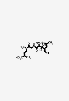 CC/C=C(\C=C(\C)CC)C(C)(C)C(NC)C(=O)NCC(=O)N(C)C/C=C(\C)C(=O)O